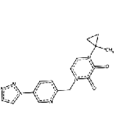 CC1(n2ccn(Cc3ccc(-n4ccnn4)cn3)c(=O)c2=O)CC1